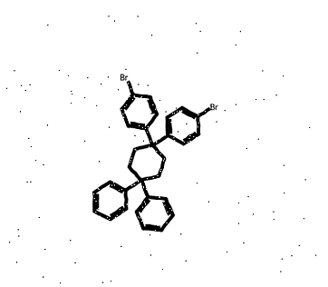 Brc1ccc(C2(c3ccc(Br)cc3)CCC(c3ccccc3)(c3ccccc3)CC2)cc1